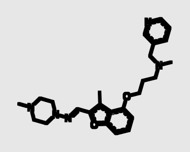 Cc1c(C=NN2CCN(C)CC2)oc2cccc(OCCCN(C)Cc3cccnc3)c12